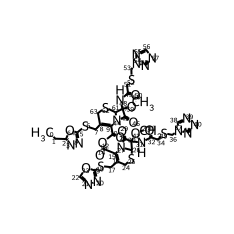 CCc1nnc(SCC2=C(C(=O)OC(=O)C3=C(CSc4nnco4)CSC4N3C(=O)C4(NC(=O)CSCn3cnnn3)OC)N3C(=O)C(NC(=O)CSCn4ncnn4)(OC)C3SC2)o1